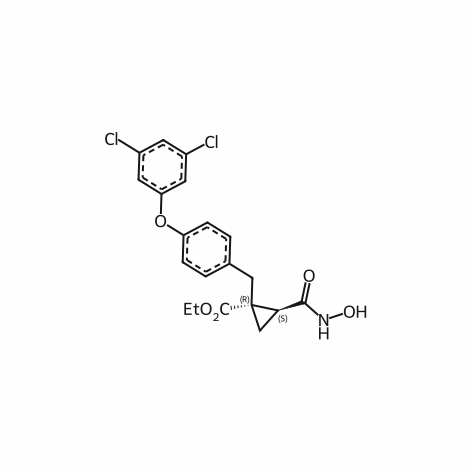 CCOC(=O)[C@@]1(Cc2ccc(Oc3cc(Cl)cc(Cl)c3)cc2)C[C@@H]1C(=O)NO